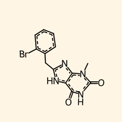 Cn1c(=O)[nH]c(=O)c2[nH]c(Cc3ccccc3Br)nc21